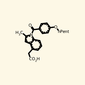 CCCCCOc1ccc(C(=O)n2c(C)cc3c(CC(=O)O)cccc32)cc1